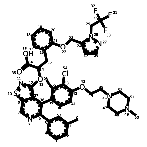 Cc1cccc(-c2ncc3snc(OC(Cc4ccccc4OCc4ccnn4CC(F)(F)F)C(=O)O)c3c2-c2ccc(OCCN3CCN(C)CC3)c(Cl)c2C)c1